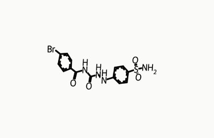 NS(=O)(=O)c1ccc(NNC(=O)NC(=O)c2ccc(Br)cc2)cc1